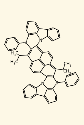 CC(C)c1c2c(c3ccc4c(C(C)C)c5c(c6ccc1c3c46)-n1c3ccccc3c3cccc(c31)B5c1ccccc1)-n1c3ccccc3c3cccc(c31)B2c1ccccc1